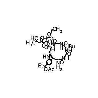 C=CCOC(=O)C[C@H](NC(=O)[C@@H]1CSc2[nH]c3cc(C(CC)OC(C)=O)ccc3c2C[C@@H](N)C(=O)NCC(=O)N[C@@H]([C@@H](C)CC)C(=O)NCC(=O)N1)C(=O)N(C)C[C@@H](C)O